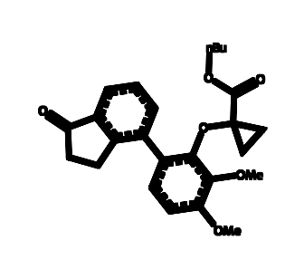 CCCCOC(=O)C1(Oc2c(-c3cccc4c3CCC4=O)ccc(OC)c2OC)CC1